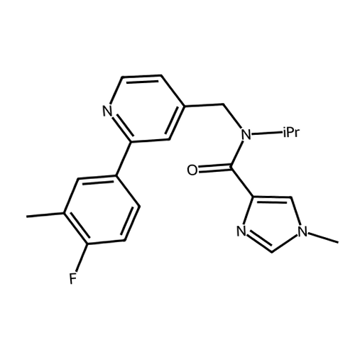 Cc1cc(-c2cc(CN(C(=O)c3cn(C)cn3)C(C)C)ccn2)ccc1F